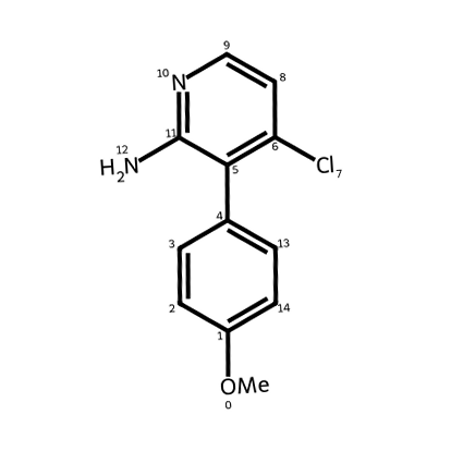 COc1ccc(-c2c(Cl)ccnc2N)cc1